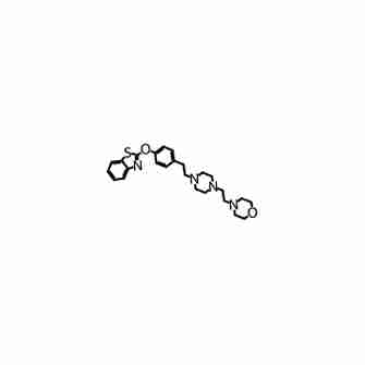 c1ccc2sc(Oc3ccc(CCN4CCN(CCN5CCOCC5)CC4)cc3)nc2c1